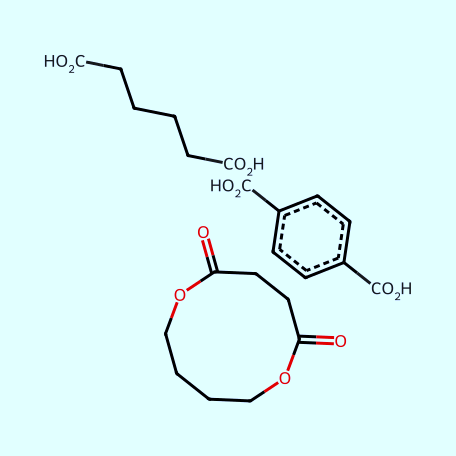 O=C(O)CCCCC(=O)O.O=C(O)c1ccc(C(=O)O)cc1.O=C1CCC(=O)OCCCCO1